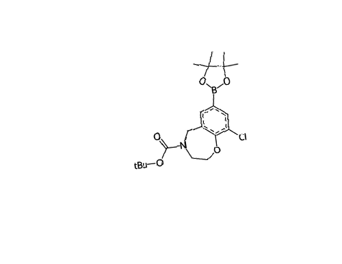 CC(C)(C)OC(=O)N1CCOc2c(Cl)cc(B3OC(C)(C)C(C)(C)O3)cc2C1